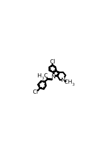 CC(=Cn1c2c(c3cc(Cl)ccc31)CCN(C)C2)c1ccc(Cl)cc1